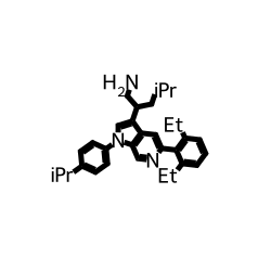 CCc1cccc(CC)c1-c1cc2c(C(CN)CC(C)C)cn(-c3ccc(C(C)C)cc3)c2cn1